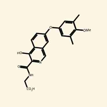 COc1c(C)cc(Oc2ccc3c(O)c(C(=O)NCC(=O)O)ncc3c2)cc1C